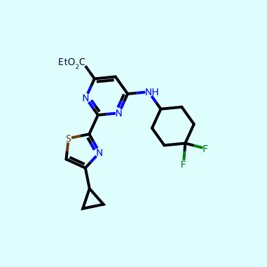 CCOC(=O)c1cc(NC2CCC(F)(F)CC2)nc(-c2nc(C3CC3)cs2)n1